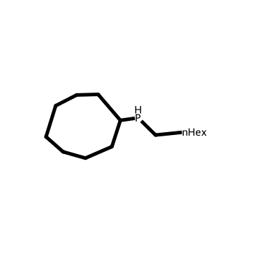 CCCCCCCPC1CCCCCCC1